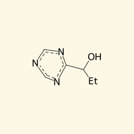 CCC(O)c1ncncn1